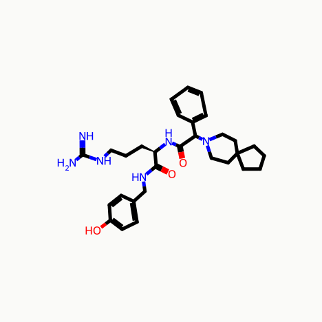 N=C(N)NCCC[C@@H](NC(=O)C(c1ccccc1)N1CCC2(CCCC2)CC1)C(=O)NCc1ccc(O)cc1